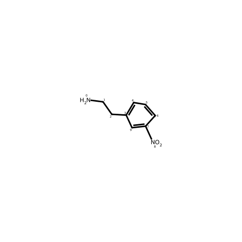 NCCc1cc[c]c([N+](=O)[O-])c1